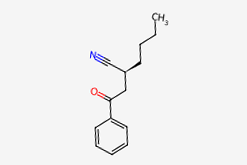 CCCC[C@H](C#N)CC(=O)c1ccccc1